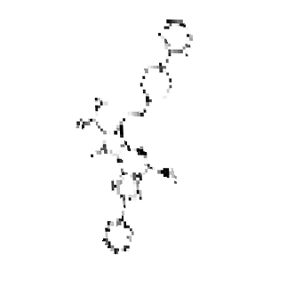 Cc1c(C(=O)O)n(CCN2CCN(c3ncccn3)CC2)c2nc(N)n3nc(-c4ccccn4)nc3c12